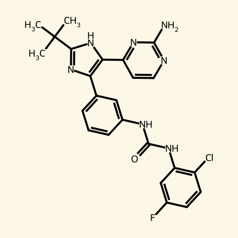 CC(C)(C)c1nc(-c2cccc(NC(=O)Nc3cc(F)ccc3Cl)c2)c(-c2ccnc(N)n2)[nH]1